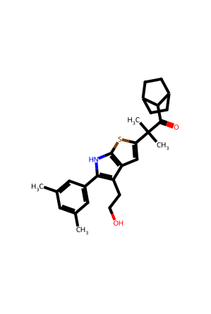 Cc1cc(C)cc(-c2[nH]c3sc(C(C)(C)C(=O)C4C5CCC4CC5)cc3c2CCO)c1